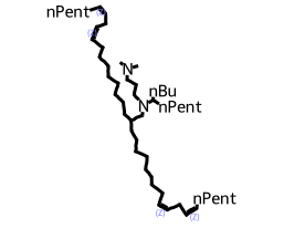 CCCCC/C=C\C/C=C\CCCCCCCCC(CCCCCCCC/C=C\C/C=C\CCCCC)CN(CCCN(C)C)C(CCCC)CCCCC